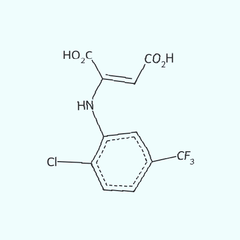 O=C(O)C=C(Nc1cc(C(F)(F)F)ccc1Cl)C(=O)O